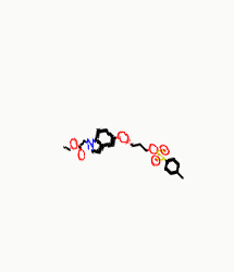 CCOC(=O)Cn1ccc2cc(OCCCOS(=O)(=O)c3ccc(C)cc3)ccc21